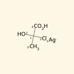 CC(O)(Cl)C(=O)O.[Ag]